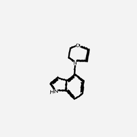 [c]1c[nH]c2cccc(N3CCOCC3)c12